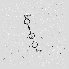 CCCCCCC1CCC(C23CCC(C#Cc4ccc(CCCCC)cc4)(CC2)CC3)CC1